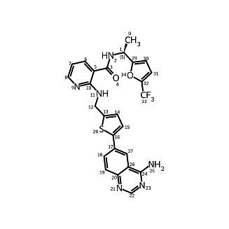 C[C@H](NC(=O)c1cccnc1NCc1ccc(-c2ccc3ncnc(N)c3c2)s1)c1ccc(C(F)(F)F)o1